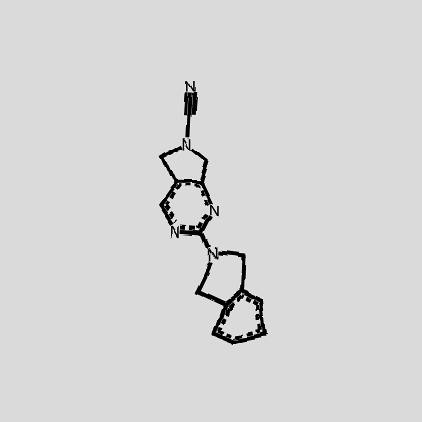 N#CN1Cc2cnc(N3Cc4ccccc4C3)nc2C1